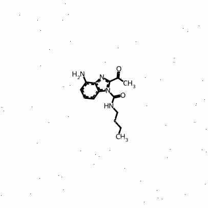 CCCCNC(=O)n1c(C(C)=O)nc2c(N)cccc21